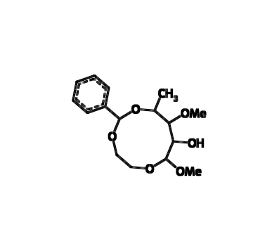 COC1OCCOC(c2ccccc2)OC(C)C(OC)C1O